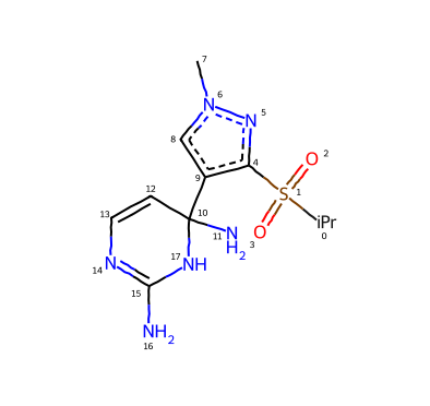 CC(C)S(=O)(=O)c1nn(C)cc1C1(N)C=CN=C(N)N1